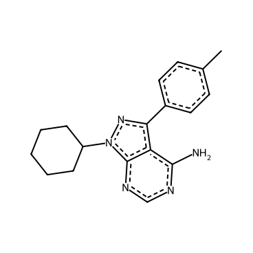 Cc1ccc(-c2nn(C3CCCCC3)c3ncnc(N)c23)cc1